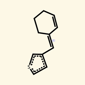 C1=C/C(=C/c2ccsc2)CCC1